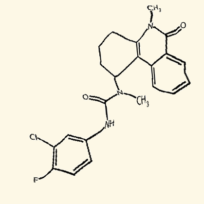 CN(C(=O)Nc1ccc(F)c(Cl)c1)C1CCCc2c1c1ccccc1c(=O)n2C